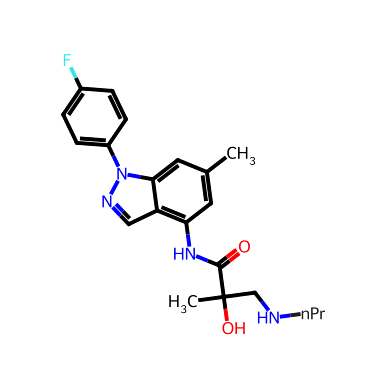 CCCNCC(C)(O)C(=O)Nc1cc(C)cc2c1cnn2-c1ccc(F)cc1